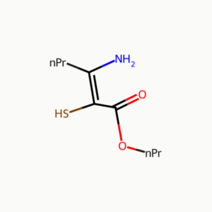 CCCOC(=O)C(S)=C(N)CCC